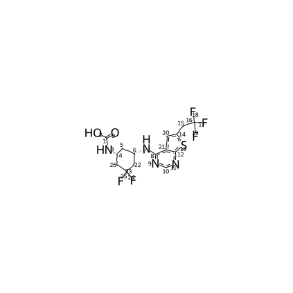 O=C(O)N[C@@H]1C[C@H](Nc2ncnc3sc(CC(F)(F)F)cc23)CC(F)(F)C1